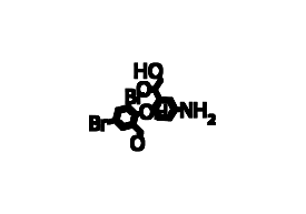 Nc1cccc(C(=O)CO)c1.O=Cc1cc(Br)cc(Br)c1O